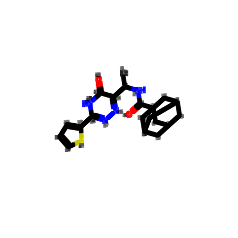 CCC(NC(=O)C12CC3CC(CC(C3)C1)C2)c1nnc(-c2cccs2)[nH]c1=O